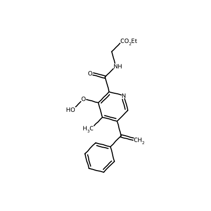 C=C(c1ccccc1)c1cnc(C(=O)NCC(=O)OCC)c(OO)c1C